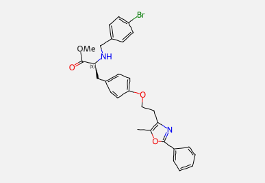 COC(=O)[C@H](Cc1ccc(OCCc2nc(-c3ccccc3)oc2C)cc1)NCc1ccc(Br)cc1